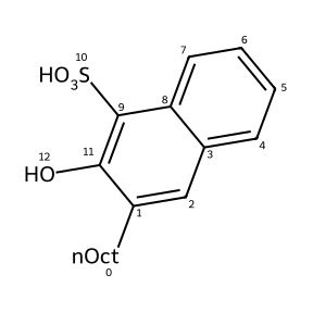 CCCCCCCCc1cc2ccccc2c(S(=O)(=O)O)c1O